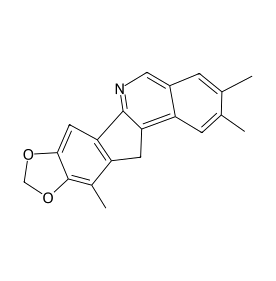 Cc1cc2cnc3c(c2cc1C)Cc1c-3cc2c(c1C)OCO2